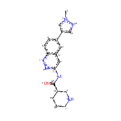 Cn1cc(-c2ccc3nnc(NC(=O)[C@@H]4CCCNC4)cc3c2)cn1